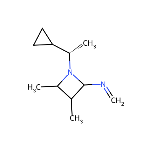 C=NC1C(C)C(C)N1[C@@H](C)C1CC1